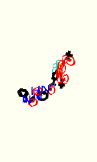 C/C(=C\C(=O)N[C@H]1CCCCN(CC(=O)N(C)c2ccccc2)C1=O)c1ccc(C(F)(F)P(=O)(OCOC(=O)C(C)(C)C)OCOC(=O)C(C)(C)C)cc1